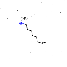 CC(C)CCCCCCNC=O